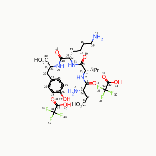 CC(C)[C@H](NC(=O)[C@@H](N)CC(=O)O)C(=O)N[C@@H](CCCCN)C(=O)N[C@@H](Cc1ccc(O)cc1)C(=O)O.O=C(O)C(F)(F)F.O=C(O)C(F)(F)F